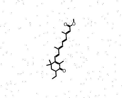 CCC1CC(C)(C)C(/C=C/C(C)=C/C=C/C(C)=C/C(=O)OC)=C(C)C1=O